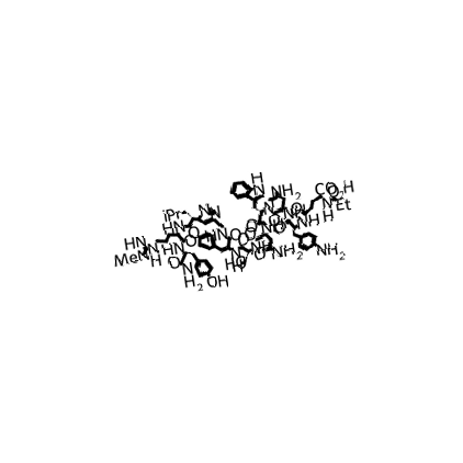 CCC(=O)N[C@@H](CCC(=O)N[C@@H](Cc1ccc(N)cc1)C(=O)NC1CC(N)=CN([C@@H](Cc2c[nH]c3ccccc23)C(=O)NC(CC(N)=O)C(=O)N[C@@H](CO)C(=O)NC(Cc2ccccc2)C(=O)NCC2=CC([C@@H](CC(C)C)C(=O)NC(CCCNC(=N)NC)C(=O)N[C@@H](Cc3ccc(O)cc3)C(N)=O)N=N2)C1=O)C(=O)O